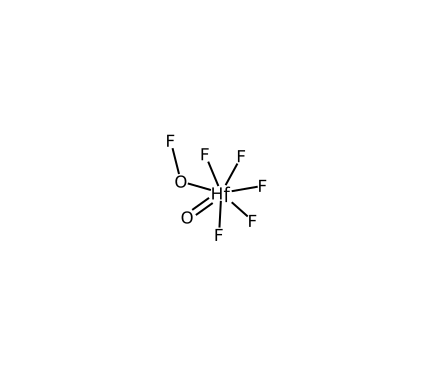 [O]=[Hf]([F])([F])([F])([F])([F])[O]F